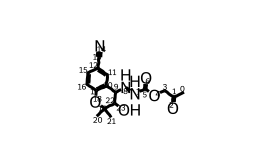 CC(=O)COC(=O)NNC1c2cc(C#N)ccc2OC(C)(C)C1O